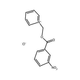 O=C(OC[n+]1ccccc1)c1cccc([N+](=O)[O-])c1.[Cl-]